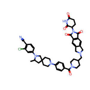 CC1CC2(CCN(c3ccc(C(=O)N4CCC(CN5Cc6cc7c(cc6C5)C(=O)N(C5CCC(=O)NC5=O)C7=O)CC4)cc3)CC2)CN1c1ccc(C#N)c(Cl)c1